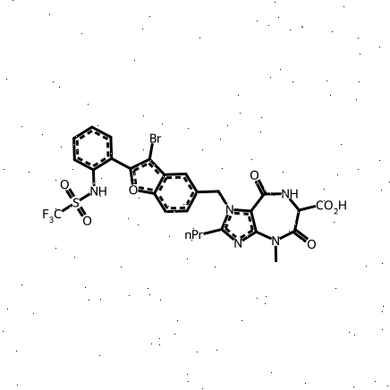 CCCc1nc2c(n1Cc1ccc3oc(-c4ccccc4NS(=O)(=O)C(F)(F)F)c(Br)c3c1)C(=O)NC(C(=O)O)C(=O)N2C